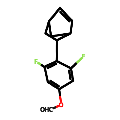 O=COc1cc(F)c(C2CC3C=CC2C3)c(F)c1